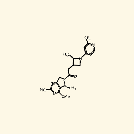 COc1nc(C#N)nc2c1C(C)N(C(=O)CC1CN(c3ccnc(C(F)(F)F)c3)C1C)C2